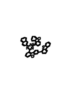 c1ccc2cc(C3=NC(c4cccc5oc6cc(-c7cccc8c7sc7ccccc78)ccc6c45)=NC(c4cccc5oc6ccccc6c45)N3)ccc2c1